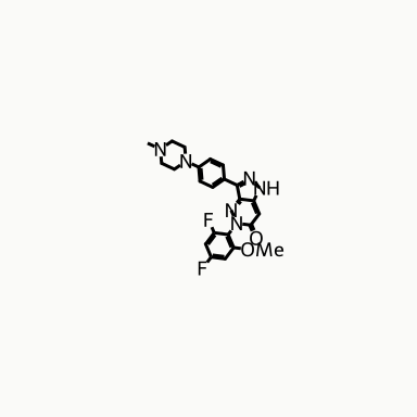 COc1cc(F)cc(F)c1-n1nc2c(-c3ccc(N4CCN(C)CC4)cc3)n[nH]c2cc1=O